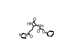 O=C(COc1ccccc1)NC1C(=O)NC1CCC(=O)n1ccnc1